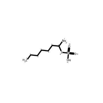 CCCCCCC(N)SS(=O)(=O)O